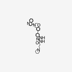 O=C(CCCN1CCCCC1)Nc1nc2ccc(-c3ccc4c(c3)CN(c3ccnc5ccccc35)CCO4)cc2[nH]1